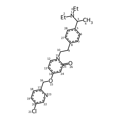 CCN(CC)C(C)c1ccc(CCn2ccc(OCc3ccc(Cl)cn3)cc2=O)cc1